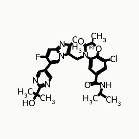 Cc1nc2cc(F)c(-c3cnc(C(C)(C)O)nc3)cn2c1CN1C(=O)[C@@H](C)Oc2c(Cl)cc(C(=O)NC(C)C)cc21